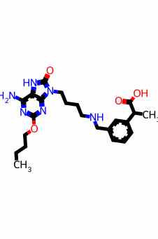 CCCCOc1nc(N)c2[nH]c(=O)n(CCCCNCc3cccc(C(C)C(=O)O)c3)c2n1